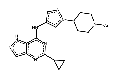 CC(=O)N1CCC(n2cc(Nc3nc(C4CC4)nc4cn[nH]c34)cn2)CC1